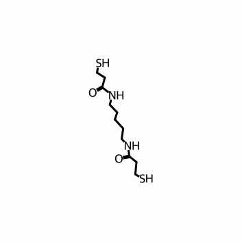 O=C(CCS)NCCCCCNC(=O)CCS